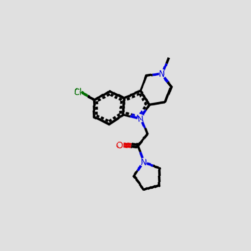 CN1CCc2c(c3cc(Cl)ccc3n2CC(=O)N2CCCC2)C1